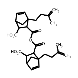 C=C(C)CCC12C=CC(C1)C(C(=O)O)C2C(=O)OC(=O)C1C(C(=O)O)C2C=CC1(CCC(=C)C)C2